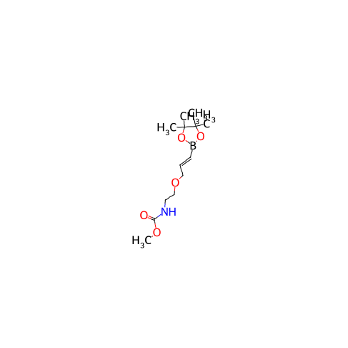 COC(=O)NCCOC/C=C/B1OC(C)(C)C(C)(C)O1